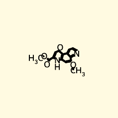 COC(=O)c1cc(=O)c2c(cc(OC)c3ncccc32)[nH]1